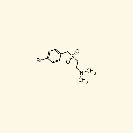 CN(C)CCS(=O)(=O)Cc1ccc(Br)cc1